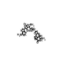 CC[C@]1(COP)O[C@@H](n2cnc3c(N)ncnc32)[C@H](OC)[C@@H]1CCPOC[C@@H]1C[C@@H](OO)[C@H](n2nnc3c(=O)[nH]c(N)nc32)O1